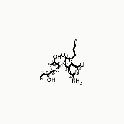 CCCCn1c(=O)n([C@@H]2O[C@H]([C@@H](O)CC)C[C@H]2O)c2nc(N)nc(Cl)c21